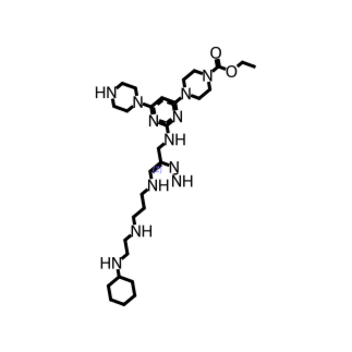 CCOC(=O)N1CCN(c2cc(N3CCNCC3)nc(NC/C(=C/NCCCNCCNC3CCCCC3)N=N)n2)CC1